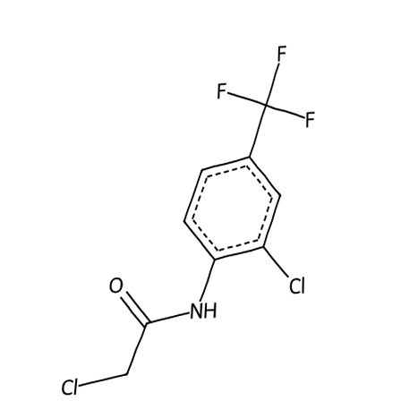 O=C(CCl)Nc1ccc(C(F)(F)F)cc1Cl